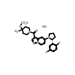 Cl.NC1(OC(=O)O)CCN(C(=O)c2cnn3ccc(N4CCC[C@@H]4c4cc(F)ccc4F)cc23)CC1